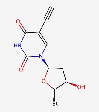 C#Cc1cn([C@H]2C[C@@H](O)[C@@H](CC)O2)c(=O)[nH]c1=O